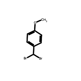 COc1ccc(C(Br)Br)cc1